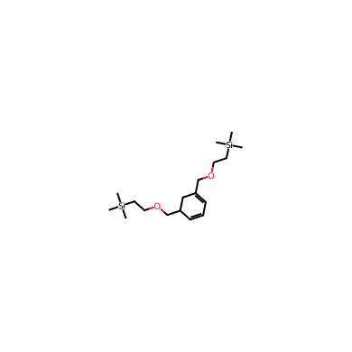 C[Si](C)(C)CCOCC1=CC=CC(COCC[Si](C)(C)C)C1